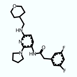 O=C(Cc1cc(F)cc(F)c1)Nc1ccc(NCC2CCOCC2)nc1N1CCCC1